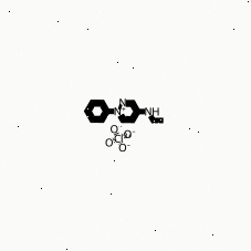 CCNc1cc[n+](-c2ccccc2)nc1.[O-][Cl+3]([O-])([O-])[O-]